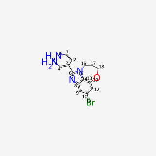 N/C=C\C(=C/N)c1nc2cc(Br)cc3c2n1CCCO3